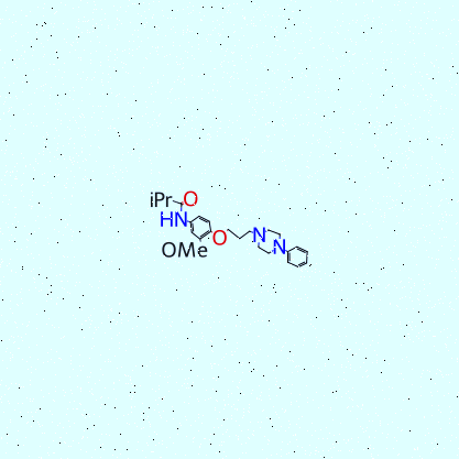 COc1cc(NC(=O)C(C)C)ccc1OCCCN1CCN(c2ccccc2)CC1